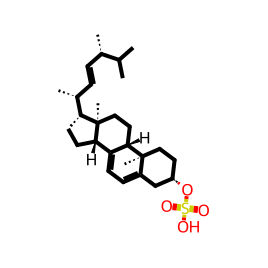 CC(C)[C@@H](C)/C=C/[C@@H](C)[C@H]1CC[C@H]2C3=CC=C4C[C@@H](OS(=O)(=O)O)CC[C@]4(C)[C@H]3CC[C@]12C